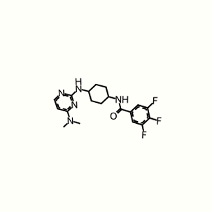 CN(C)c1ccnc(NC2CCC(NC(=O)c3cc(F)c(F)c(F)c3)CC2)n1